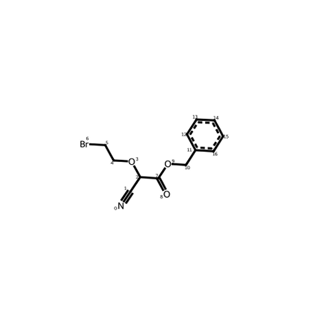 N#CC(OCCBr)C(=O)OCc1ccccc1